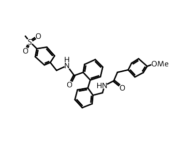 COc1ccc(CC(=O)NCc2ccccc2-c2ccccc2C(=O)NCc2ccc(S(C)(=O)=O)cc2)cc1